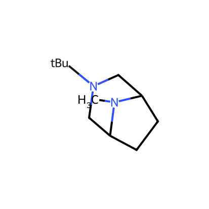 CN1C2CCC1CN(C(C)(C)C)C2